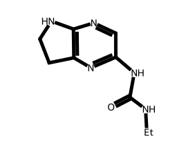 CCNC(=O)Nc1cnc2c(n1)CCN2